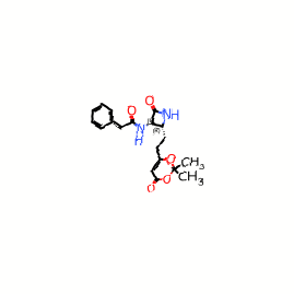 CC1(C)OC(=O)C=C(CC[C@H]2NC(=O)[C@H]2NC(=O)Cc2ccccc2)O1